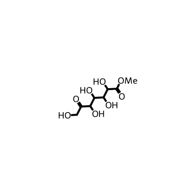 COC(=O)C(O)C(O)C(O)C(O)C(=O)CO